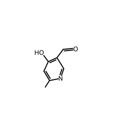 Cc1cc(O)c(C=O)cn1